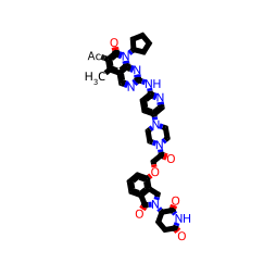 CC(=O)c1c(C)c2cnc(Nc3ccc(N4CCN(C(=O)COc5cccc6c5CN(C5CCC(=O)NC5=O)C6=O)CC4)cn3)nc2n(C2CCCC2)c1=O